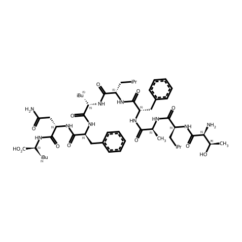 CC[C@H](C)[C@H](NC(=O)[C@H](CC(N)=O)NC(=O)[C@H](Cc1ccccc1)NC(=O)[C@@H](NC(=O)[C@H](CC(C)C)NC(=O)[C@H](Cc1ccccc1)NC(=O)[C@H](C)NC(=O)[C@H](CC(C)C)NC(=O)[C@@H](N)[C@@H](C)O)[C@@H](C)CC)C(=O)O